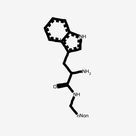 CCCCCCCCCCNC(=O)C(N)Cc1c[nH]c2ccccc12